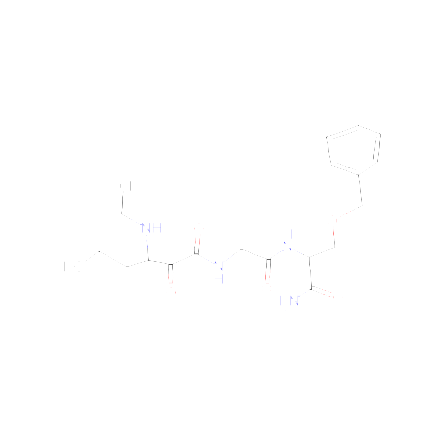 CCCC(NCC)C(=O)C(=O)NCC(=O)NC(COCc1ccccc1)C(N)=O